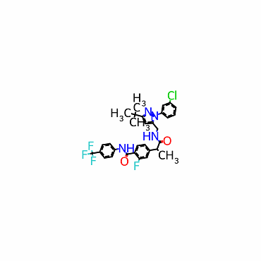 CC(C(=O)NCc1cc(C(C)(C)C)nn1-c1cccc(Cl)c1)c1ccc(C(=O)Nc2ccc(C(F)(F)F)cc2)c(F)c1